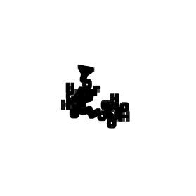 C[C@@H](NS(=O)(=O)CCCCOC1C(=O)NC(=O)NC1=O)c1ccc(F)c(OCC2CC2)c1